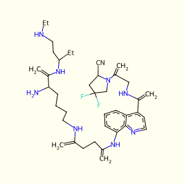 C=C(CCC(=C)Nc1cccc2c(C(=C)NCC(=C)N3CC(F)(F)CC3C#N)ccnc12)NCCCCC(N)C(=C)NC(CC)CCNCC